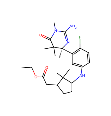 CCOC(=O)CC1CCC(Nc2ccc(F)c([C@]3(C)N=C(N)N(C)C(=O)C3(C)C)c2)C1(C)C